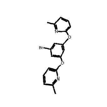 Cc1cccc(Oc2cc(Br)cc(Oc3cccc(C)n3)c2)n1